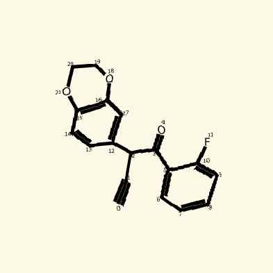 C#CC(C(=O)c1ccccc1F)c1ccc2c(c1)OCCO2